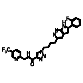 O=C(NCc1ccc(C(F)(F)F)cn1)c1cn(CCCCc2cc3cc(-c4ccccc4F)[nH]c3nn2)nn1